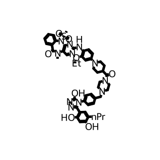 CCCc1cc(-c2nnc(O)n2-c2ccc(CN3CCN(C(=O)C4CCN(c5ccc(Nc6ncc7c(n6)N(S(C)(=O)=O)c6ccccc6C(=O)N7C)c(OCC)c5)CC4)CC3)cc2)c(O)cc1O